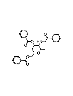 CC1OC(COC(=O)c2ccccc2)CC(OC(=O)c2ccccc2)C1NCC(=O)c1ccccc1